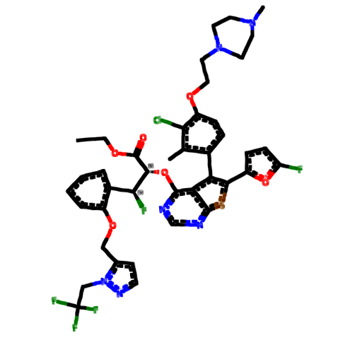 CCOC(=O)[C@H](Oc1ncnc2sc(-c3ccc(F)o3)c(-c3ccc(OCCN4CCN(C)CC4)c(Cl)c3C)c12)[C@@H](F)c1ccccc1OCc1ccnn1CC(F)(F)F